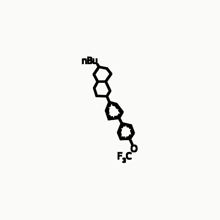 CCCCC1CCC2CC(c3ccc(-c4ccc(OC(F)(F)F)cc4)cc3)CCC2C1